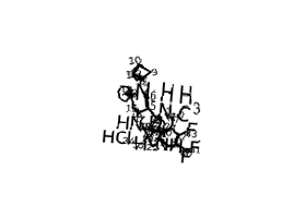 C[C@@H](NC(=O)c1cn(C23CC(C2)C3)c(=O)cc1N[C@@H]1[C@@H]2CNC[C@@H]21)c1cccc(C(F)F)c1F.Cl